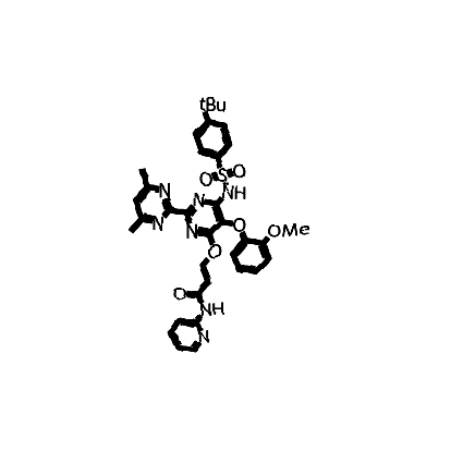 COc1ccccc1Oc1c(NS(=O)(=O)c2ccc(C(C)(C)C)cc2)nc(-c2nc(C)cc(C)n2)nc1OCCC(=O)Nc1ccccn1